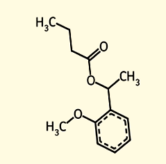 CCCC(=O)OC(C)c1ccccc1OC